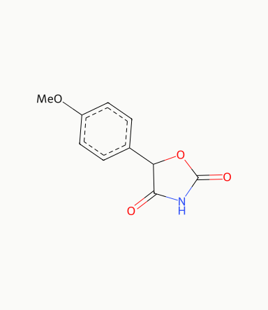 COc1ccc(C2OC(=O)NC2=O)cc1